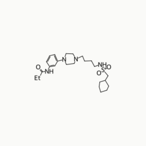 CCC(=O)Nc1cccc(N2CCN(CCCCNS(=O)(=O)CC3CCCCC3)CC2)c1